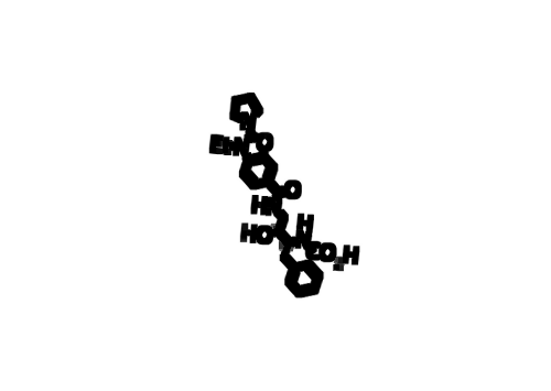 CCN1c2ccc(C(=O)NC[C@H](O)[C@H](Cc3ccccc3)NC(=O)O)cc2OC1N1CCCC1